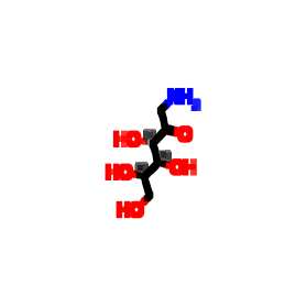 NCC(=O)[C@@H](O)[C@@H](O)[C@H](O)CO